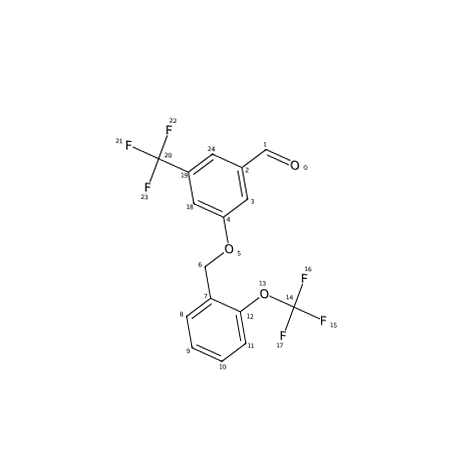 O=Cc1cc(OCc2ccccc2OC(F)(F)F)cc(C(F)(F)F)c1